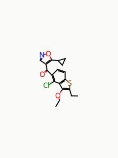 CCOc1c(CC)sc2ccc(C(=O)c3cnoc3C3CC3)c(Cl)c12